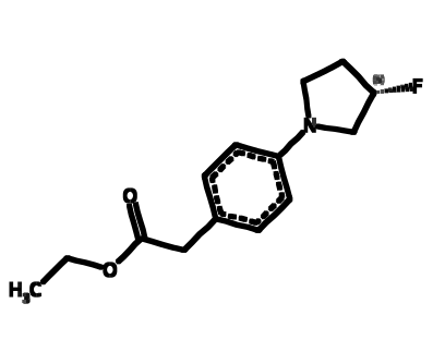 CCOC(=O)Cc1ccc(N2CC[C@H](F)C2)cc1